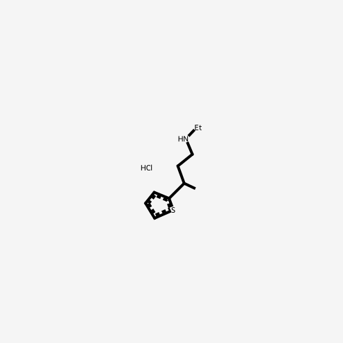 CCNCCC(C)c1cccs1.Cl